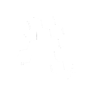 CN1CCC(c2cc3c(-c4cc(NCc5cccc(S(C)(=O)=O)c5)ccc4F)ccnc3[nH]2)CC1